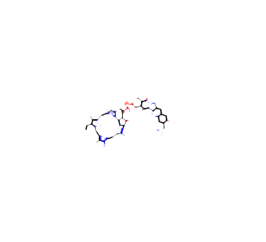 C=Cc1c2[nH]c(c1C)/C=C1\N=C(C3=C4NC(/C=c5\[nH]/c(c(C)c5CC)=C\2)C(C)=C4C(=O)C3C(=O)OC)[C@@H](CCC(=O)O[C@@]2(CC)C(=O)OCc3c2cc2n(c3=O)Cc3cc4cc(O)c(CN(C)C)cc4nc3-2)[C@@H]1C